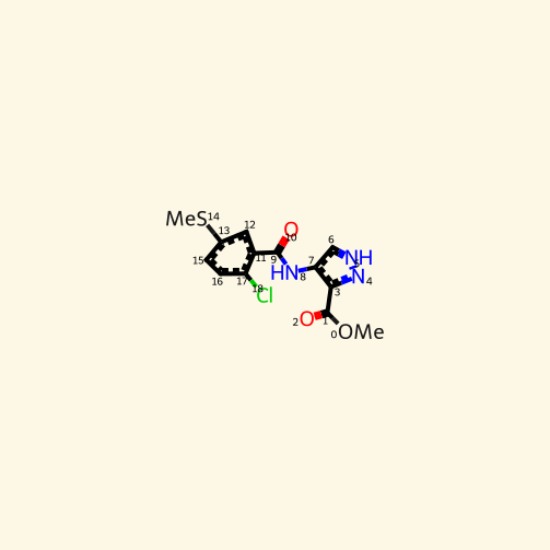 COC(=O)c1n[nH]cc1NC(=O)c1cc(SC)ccc1Cl